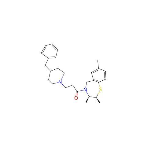 Cc1ccc2c(c1)CN(C(=O)CCN1CCC(Cc3ccccc3)CC1)[C@H](C)[C@H](C)S2